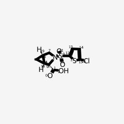 O=C(O)[C@@H]1[C@H]2C[C@H]2CN1S(=O)(=O)c1ccc(Cl)s1